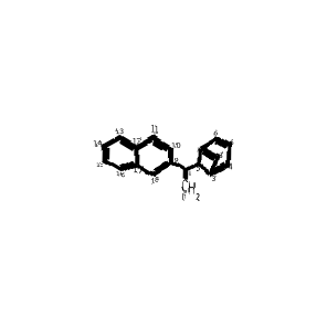 C=C([C]1C2=CC=CC1=C2)c1ccc2ccccc2c1